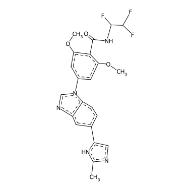 COc1cc(-n2cnc3cc(-c4cnc(C)[nH]4)ccc32)cc(OC)c1C(=O)NC(F)C(F)F